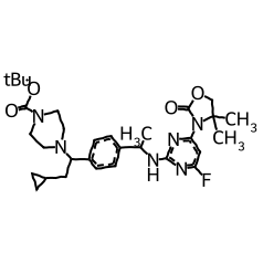 CC(Nc1nc(F)cc(N2C(=O)OCC2(C)C)n1)c1ccc(C(CC2CC2)N2CCN(C(=O)OC(C)(C)C)CC2)cc1